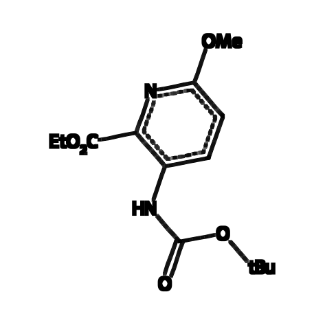 CCOC(=O)c1nc(OC)ccc1NC(=O)OC(C)(C)C